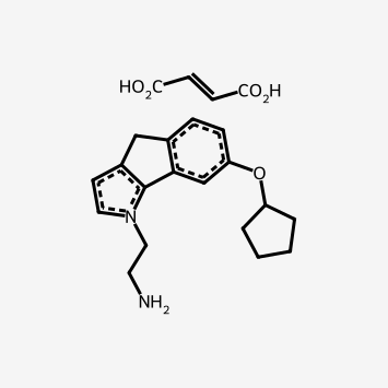 NCCn1ccc2c1-c1cc(OC3CCCC3)ccc1C2.O=C(O)C=CC(=O)O